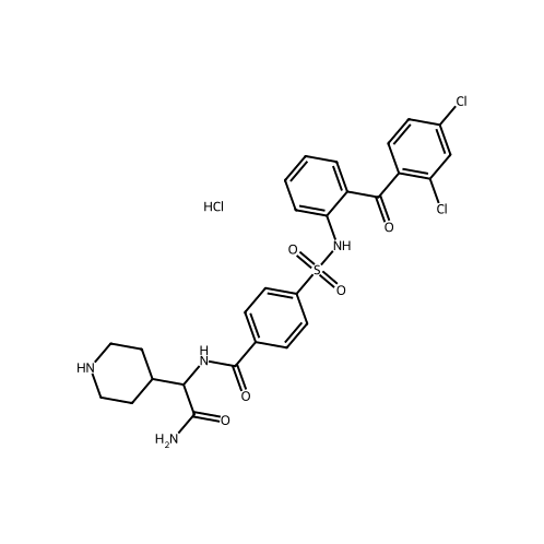 Cl.NC(=O)C(NC(=O)c1ccc(S(=O)(=O)Nc2ccccc2C(=O)c2ccc(Cl)cc2Cl)cc1)C1CCNCC1